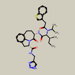 CC[C@H](C)[C@@H](C(=O)N[C@H]1CCc2cccc3c2N(C1=O)[C@H](C(=O)NCc1c[nH]nn1)C3)N(C(=O)Cc1csc2ccccc12)C(C)C